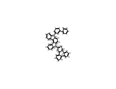 c1ccc(-c2cccc(-n3c4ccccc4c4c5c6ccccc6n(-c6ncc7c8ccccc8c8ccccc8c7n6)c5ccc43)c2)cc1